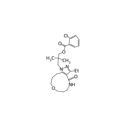 CCc1nn(CC(C)(C)COC(=O)c2ccccc2Cl)c2c1C(=O)NCCCOCCC2